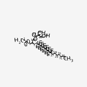 C=CC(=O)OCC(CCC(F)(F)C(F)(F)C(F)(F)C(F)(F)C(F)(F)C(F)(F)CCCCCCC)COC(=O)C(=C)CO